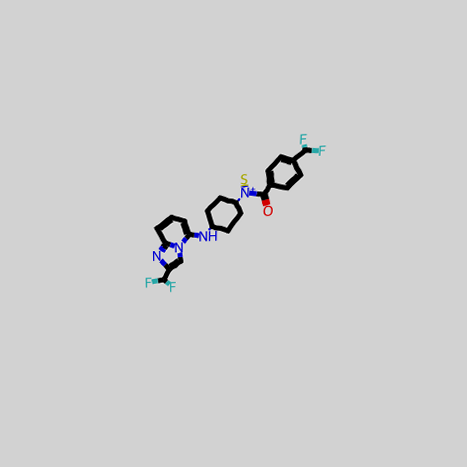 O=C(c1ccc(C(F)F)cc1)[N+](=S)[C@H]1CC[C@@H](Nc2cccc3nc(C(F)F)cn23)CC1